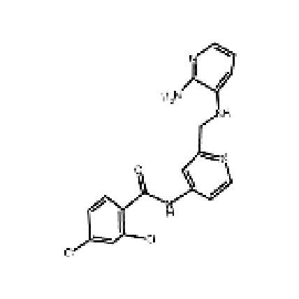 Nc1ncccc1NCc1cc(NC(=O)c2ccc(Cl)cc2Cl)ccn1